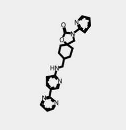 O=C1OC2(CCC(CNc3ccc(-c4ncccn4)cn3)CC2)CN1c1ccccn1